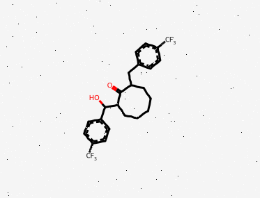 O=C1C(Cc2ccc(C(F)(F)F)cc2)CCCCCC1C(O)c1ccc(C(F)(F)F)cc1